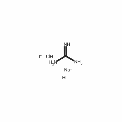 Cl.I.N=C(N)N.[I-].[Na+]